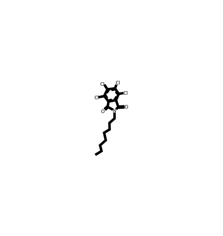 CCCCCCCCN1C(=O)c2c(Cl)c(Cl)c(Cl)c(Cl)c2C1=O